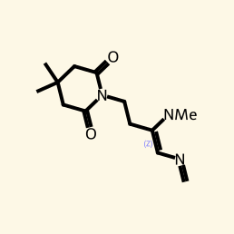 C=N/C=C(/CCN1C(=O)CC(C)(C)CC1=O)NC